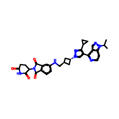 CC(C)n1ncc2c(-c3cn([C@H]4C[C@H](CNc5ccc6c(c5)C(=O)N(C5CCC(=O)NC5=O)C6=O)C4)nc3C3CC3)nccc21